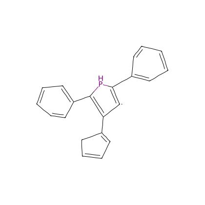 [c]1c(-c2ccccc2)[pH]c(-c2ccccc2)c1C1=CC=CC1